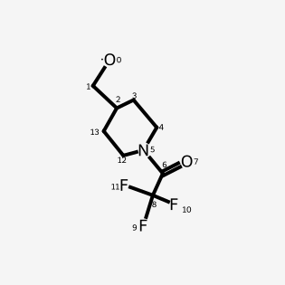 [O]CC1CCN(C(=O)C(F)(F)F)CC1